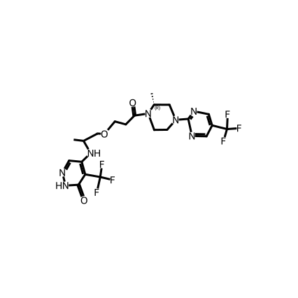 CC(COCCC(=O)N1CCN(c2ncc(C(F)(F)F)cn2)C[C@H]1C)Nc1cn[nH]c(=O)c1C(F)(F)F